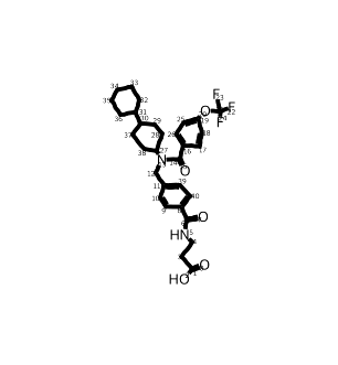 O=C(O)CCNC(=O)c1ccc(CN(C(=O)c2ccc(OC(F)(F)F)cc2)C2CCC(C3CCCCC3)CC2)cc1